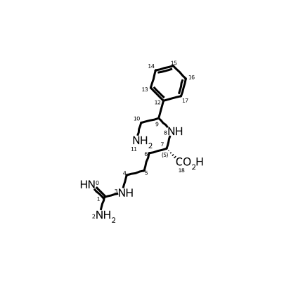 N=C(N)NCCC[C@H](NC(CN)c1ccccc1)C(=O)O